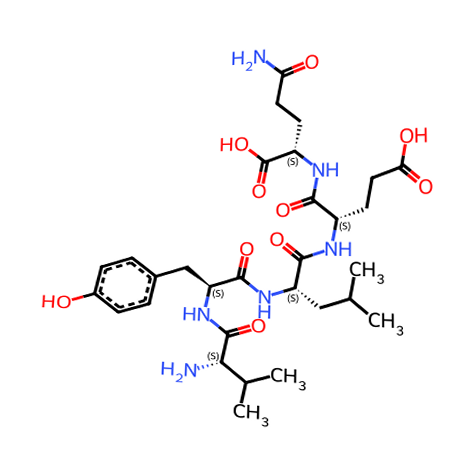 CC(C)C[C@H](NC(=O)[C@H](Cc1ccc(O)cc1)NC(=O)[C@@H](N)C(C)C)C(=O)N[C@@H](CCC(=O)O)C(=O)N[C@@H](CCC(N)=O)C(=O)O